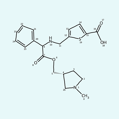 CN1CC[C@@H](COC(=O)C(NCc2ccc(C(=O)O)s2)c2ccccc2)C1